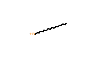 CCCCCCCCCCCCCCCCCC[PH]